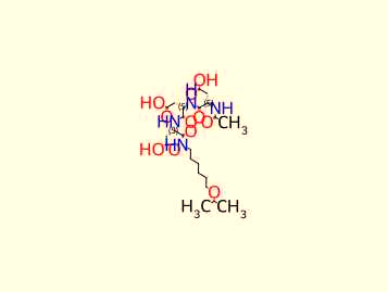 CC(=O)N[C@@H](CC(=O)O)C(=O)N[C@@H](CC(=O)O)C(=O)N[C@@H](CC(=O)O)C(=O)NCCCCCCOC(C)C